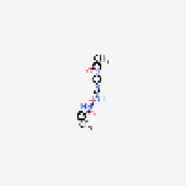 Cc1ccn(C2CCC(N3CC(NC(=O)CNC(=O)c4cccc(C(F)(F)F)c4)C3)CC2)c(=O)c1